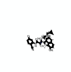 C/C(C(=O)Nc1cc(Cl)ccc1C#N)=C(/O)[C@@H]1Oc2c(O)ccc3c2[C@@]12CCN(CC1CC1)[C@H](C3)[C@@]2(C)O